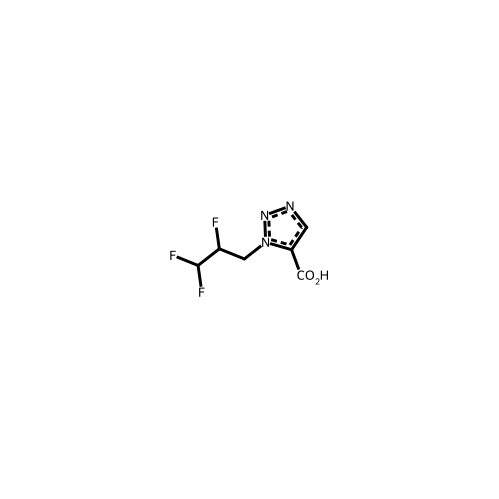 O=C(O)c1cnnn1CC(F)C(F)F